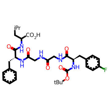 CC(C)CC(NC(=O)[C@@H](Cc1ccccc1)NC(=O)CNC(=O)CNC(=O)[C@@H](Cc1ccc(F)cc1)NC(=O)OC(C)(C)C)C(=O)O